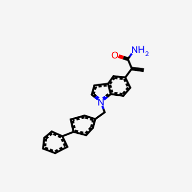 C=C(C(N)=O)c1ccc2c(ccn2Cc2ccc(-c3ccccc3)cc2)c1